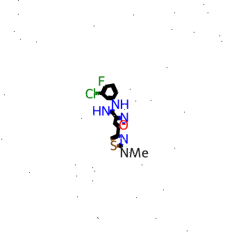 CNc1nc(-c2cc(C(=N)Nc3ccc(F)c(Cl)c3)no2)cs1